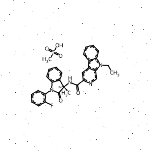 CCn1c2ccccc2c2cc(C(=O)N[C@]3(C)C(=O)N(c4ccccc4F)c4ccccc43)ncc21.CS(=O)(=O)O